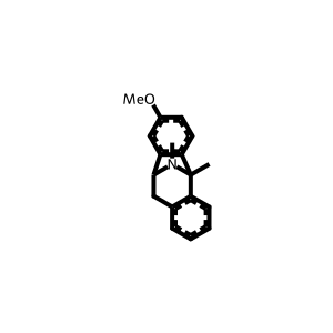 COc1ccc2c(c1)C1Cc3ccccc3C2(C)N1C